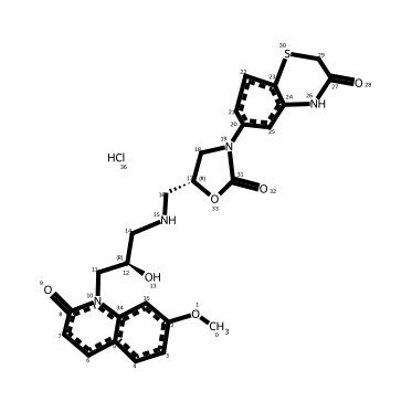 COc1ccc2ccc(=O)n(C[C@H](O)CNC[C@@H]3CN(c4ccc5c(c4)NC(=O)CS5)C(=O)O3)c2c1.Cl